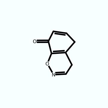 O=C1C=CCC2=C1ON=CC2